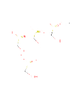 O=S([O-])CO.O=S([O-])CO.O=S([O-])CO.O=S([O-])CO.[Ti+4]